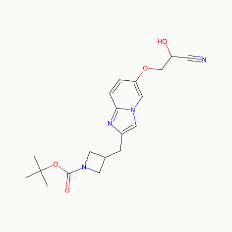 CC(C)(C)OC(=O)N1CC(Cc2cn3cc(OCC(O)C#N)ccc3n2)C1